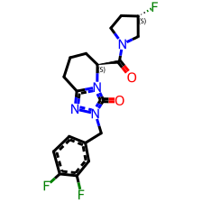 O=C([C@@H]1CCCc2nn(Cc3ccc(F)c(F)c3)c(=O)n21)N1CC[C@H](F)C1